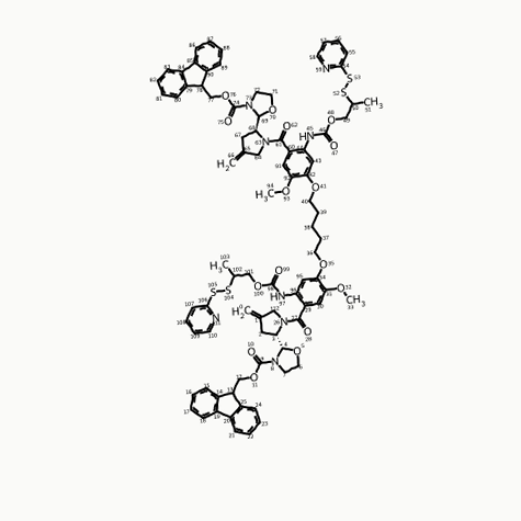 C=C1C[C@@H](C2OCCN2C(=O)OCC2c3ccccc3-c3ccccc32)N(C(=O)c2cc(OC)c(OCCCCCOc3cc(NC(=O)OCC(C)SSc4ccccn4)c(C(=O)N4CC(=C)C[C@H]4C4OCCN4C(=O)OCC4c5ccccc5-c5ccccc54)cc3OC)cc2NC(=O)OCC(C)SSc2ccccn2)C1